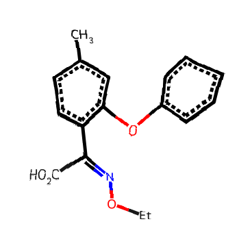 CCON=C(C(=O)O)c1ccc(C)cc1Oc1ccccc1